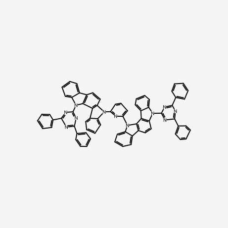 c1ccc(-c2nc(-c3ccccc3)nc(-n3c4ccccc4c4c3ccc3c5ccccc5n(-c5cccc(-n6c7ccccc7c7c6ccc6c8ccccc8n(-c8nc(-c9ccccc9)nc(-c9ccccc9)n8)c67)n5)c34)n2)cc1